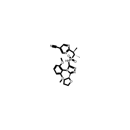 COc1cccc(OC)c1-n1c(NS(=O)(=O)[C@@H](C)[C@H](C)c2ncc(C#N)cn2)nnc1[C@@H]1CCCO1